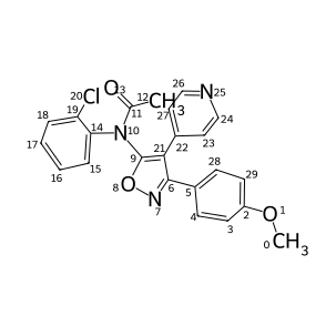 COc1ccc(-c2noc(N(C(C)=O)c3ccccc3Cl)c2-c2ccncc2)cc1